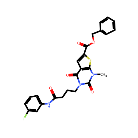 Cn1c(=O)n(CCCC(=O)Nc2cccc(F)c2)c(=O)c2cc(C(=O)OCc3ccccc3)sc21